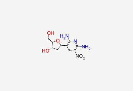 Nc1nc(N)c([N+](=O)[O-])cc1C1C[C@H](O)[C@@H](CO)O1